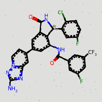 Nc1nc2cc(-c3cc(NC(=O)c4cc(F)cc(C(F)(F)F)c4)c4c(c3)C(=O)N[C@H]4c3cc(F)ccc3Cl)ccn2n1